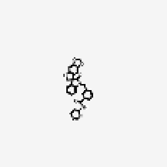 O=C(Nc1ccncn1)c1cccc(CN2C(=O)C3(COc4cc5c(cc43)OCO5)c3ccccc32)c1